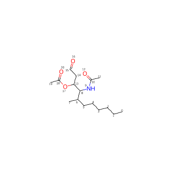 CCCCCCC(C)C(NC(C)=O)C(CC=O)OC(C)=O